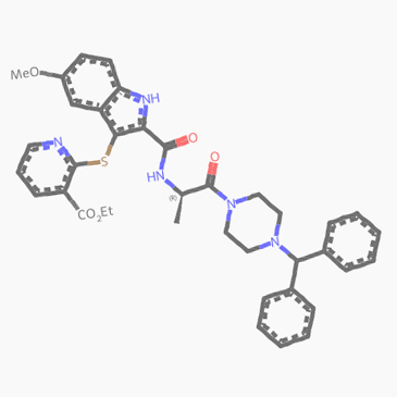 CCOC(=O)c1cccnc1Sc1c(C(=O)N[C@H](C)C(=O)N2CCN(C(c3ccccc3)c3ccccc3)CC2)[nH]c2ccc(OC)cc12